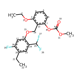 CCOc1cccc(OC(=O)OC)c1COc1cc(F)c(CC)cc1C(F)F